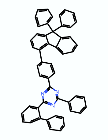 c1ccc(-c2nc(-c3ccc(-c4cccc5c4-c4ccccc4C5(c4ccccc4)c4ccccc4)cc3)nc(-c3ccccc3-c3ccccc3)n2)cc1